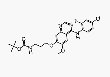 COc1cc2c(Nc3ccc(Cl)cc3F)ncnc2cc1OCCCNC(=O)OC(C)(C)C